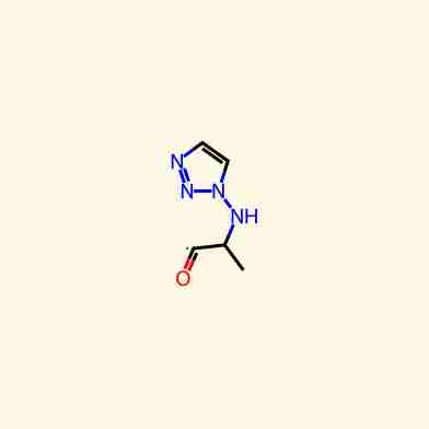 CC([C]=O)Nn1ccnn1